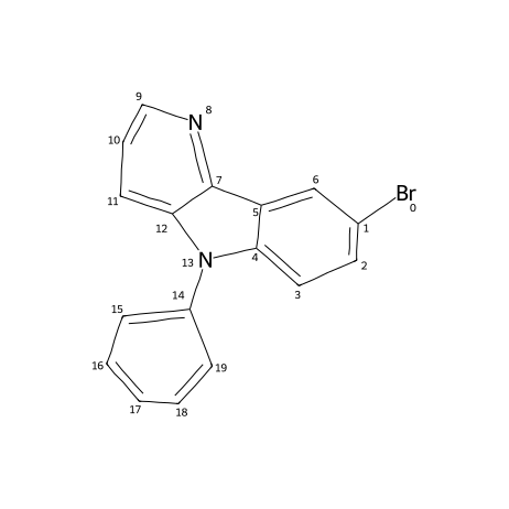 Brc1ccc2c(c1)c1ncccc1n2-c1ccccc1